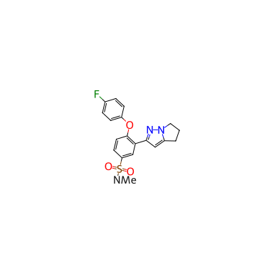 CNS(=O)(=O)c1ccc(Oc2ccc(F)cc2)c(-c2cc3n(n2)CCC3)c1